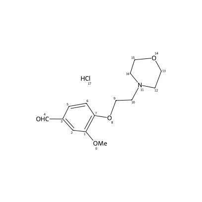 COc1cc(C=O)ccc1OCCN1CCOCC1.Cl